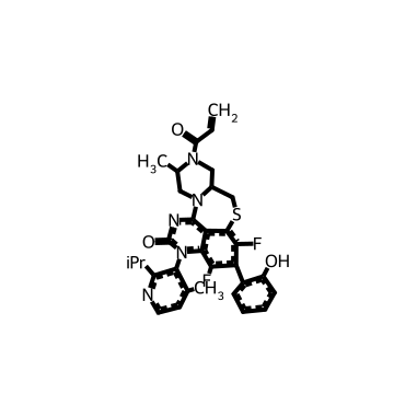 C=CC(=O)N1CC2CSc3c(F)c(-c4ccccc4O)c(F)c4c3c(nc(=O)n4-c3c(C)ccnc3C(C)C)N2CC1C